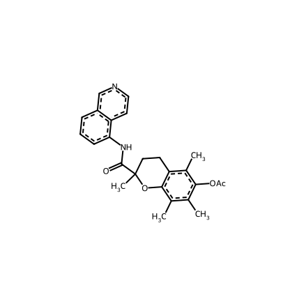 CC(=O)Oc1c(C)c(C)c2c(c1C)CCC(C)(C(=O)Nc1cccc3cnccc13)O2